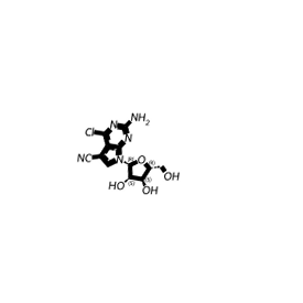 N#Cc1cn([C@@H]2O[C@H](CO)[C@@H](O)[C@@H]2O)c2nc(N)nc(Cl)c12